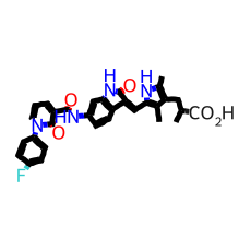 Cc1[nH]c(C=C2C(=O)Nc3cc(NC(=O)c4cccn(-c5ccc(F)cc5)c4=O)ccc32)c(C)c1CC(C)C(=O)O